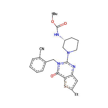 CCc1cc2nc(N3CCC[C@@H](NC(=O)OC(C)(C)C)C3)n(Cc3ccccc3C#N)c(=O)c2s1